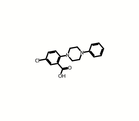 O=C(O)c1cc(Cl)ccc1N1CCN(c2ccccc2)CC1